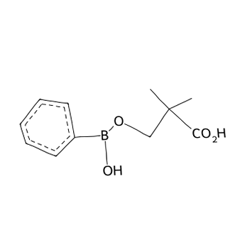 CC(C)(COB(O)c1ccccc1)C(=O)O